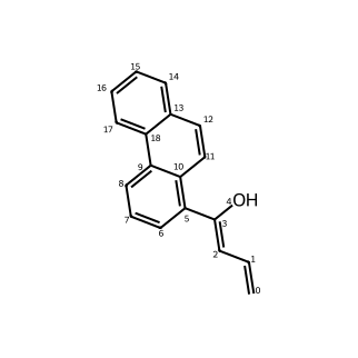 C=CC=C(O)c1cccc2c1ccc1ccccc12